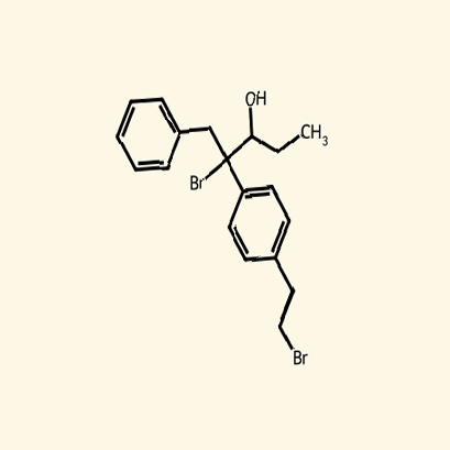 CCC(O)C(Br)(Cc1ccccc1)c1ccc(CCBr)cc1